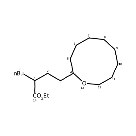 [CH2]CCCC(CC[C]1CCCCCCCCO1)C(=O)OCC